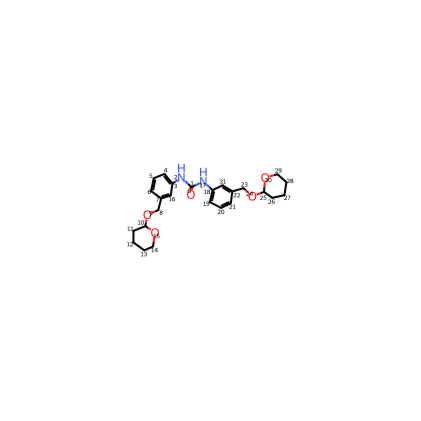 O=C(Nc1cccc(COC2CCCCO2)c1)Nc1cccc(COC2CCCCO2)c1